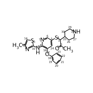 CC(=O)C(Sc1cnc(Nc2nc(C)cs2)c(Oc2ccccc2)c1)C1CCNCC1